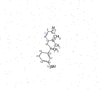 C=C(CC(/C=C\C)N(C)C)C1=CC(SC)=CCC1